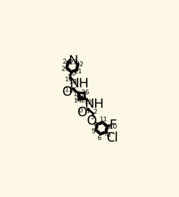 O=C(COc1ccc(Cl)c(F)c1)NC12CC(C(=O)NCc3ccncc3)(C1)C2